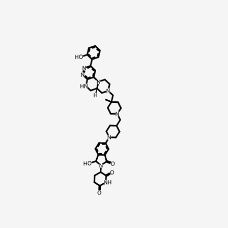 CC1(CN2CCN3c4cc(-c5ccccc5O)nnc4NC[C@H]3C2)CCN(CC2CCN(c3ccc4c(c3)C(=O)N(C3CCC(=O)NC3=O)C4O)CC2)CC1